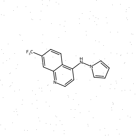 FC(F)(F)c1ccc2c(Nn3cccc3)ccnc2c1